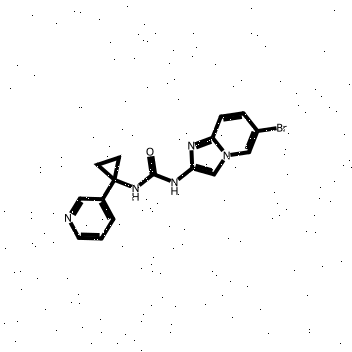 O=C(Nc1cn2cc(Br)ccc2n1)NC1(c2cccnc2)CC1